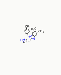 Cc1ccc(Cn2c(CC3CCNC3)nc3cc(C)c(C)cc32)cc1